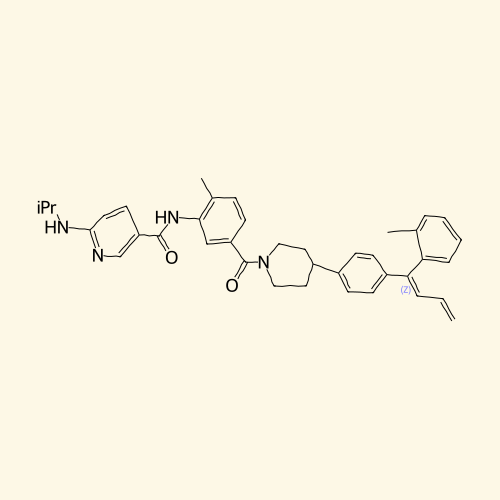 C=C/C=C(/c1ccc(C2CCN(C(=O)c3ccc(C)c(NC(=O)c4ccc(NC(C)C)nc4)c3)CC2)cc1)c1ccccc1C